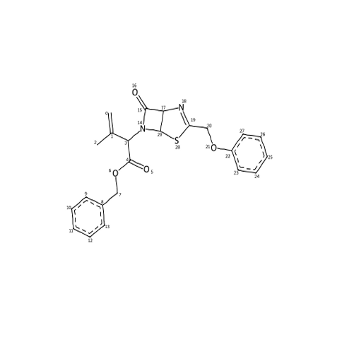 C=C(C)C(C(=O)OCc1ccccc1)N1C(=O)C2N=C(COc3ccccc3)SC21